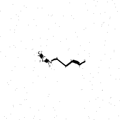 CC=CCCN=C=S